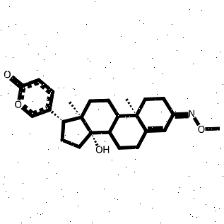 CON=C1C=C2CCC3C(CC[C@]4(C)[C@@H](c5ccc(=O)oc5)CC[C@]34O)[C@@]2(C)CC1